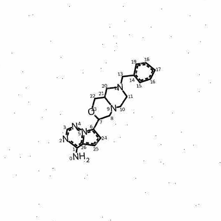 Nc1ncnn2c(C3CN4CCN(Cc5ccccc5)CC4CO3)ccc12